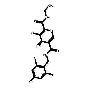 CCNC(=O)c1[nH]cc(C(=O)NCc2c(F)cc(F)cc2F)c(=O)c1O